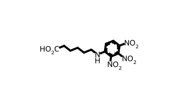 O=C(O)CCCCCNc1ccc([N+](=O)[O-])c([N+](=O)[O-])c1[N+](=O)[O-]